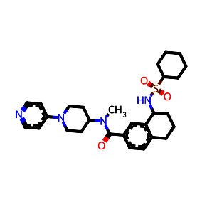 CN(C(=O)c1ccc2c(c1)C(NS(=O)(=O)C1CCCCC1)CCC2)C1CCN(c2ccncc2)CC1